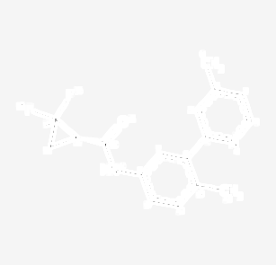 Cc1ccnc(-c2cc(NC(=O)[C@@H]3CC3(F)F)ccc2C)c1